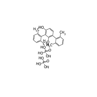 Cc1cccc(C)c1-c1ccc(O)c(-c2c(C)cccc2C)c1O.O=P(O)(O)O.O=P(O)(O)O